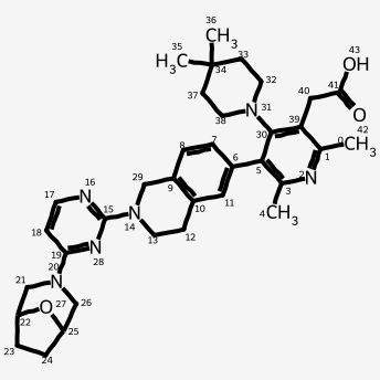 Cc1nc(C)c(-c2ccc3c(c2)CCN(c2nccc(N4CC5CCC(C4)O5)n2)C3)c(N2CCC(C)(C)CC2)c1CC(=O)O